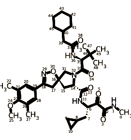 CNC(=O)C(=O)[C@H](CC1CC1)NC(=O)[C@@H]1C[C@]2(CC(c3cc(C)c(OC)c(C)c3)=NO2)CN1C(=O)[C@@H](NC(=O)CC1CCCCC1)C(C)(C)C